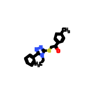 CCn1c(SCC(=O)c2ccc(C)cc2)nnc1-c1ccccc1